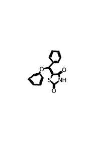 O=C1NC(=O)C(=C(Oc2ccccc2)c2ccccc2)S1